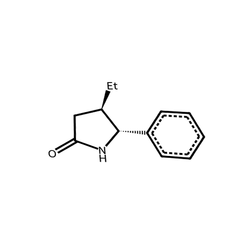 CC[C@@H]1CC(=O)N[C@H]1c1ccccc1